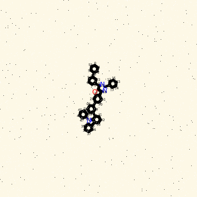 c1ccc(-c2cccc(-c3nc(-c4ccccc4)nc4c3oc3cc(-c5cccc(-c6cccc7c8ccccc8n(-c8ccccc8)c67)c5)ccc34)c2)cc1